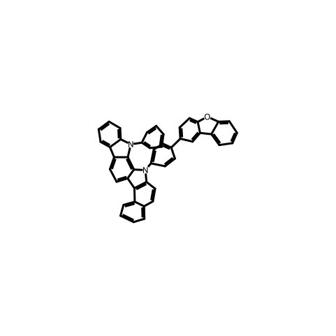 c1ccc(-n2c3ccccc3c3ccc4c5c6ccccc6ccc5n(-c5ccc(-c6ccc7oc8ccccc8c7c6)cc5)c4c32)cc1